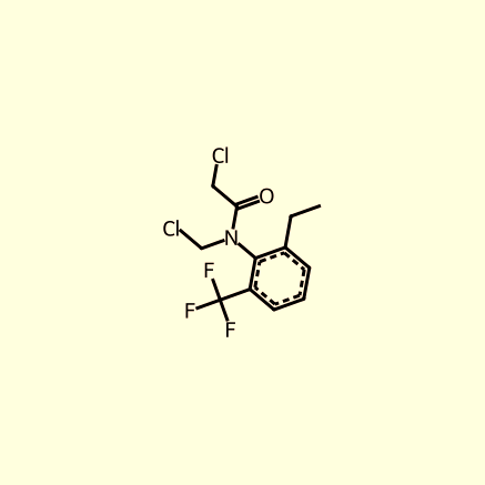 CCc1cccc(C(F)(F)F)c1N(CCl)C(=O)CCl